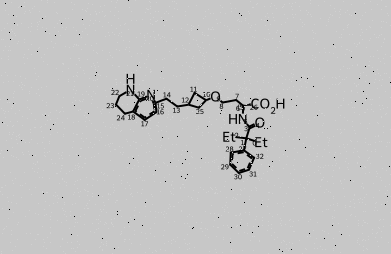 CCC(CC)(C(=O)N[C@@H](CCOC1CC(CCc2ccc3c(n2)NCCC3)C1)C(=O)O)c1ccccc1